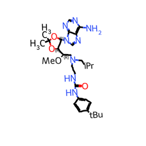 CO[C@H](CN(CCNC(=O)Nc1ccc(C(C)(C)C)cc1)CC(C)C)[C@H]1OC(C)(C)O[C@H]1n1cnc2c(N)ncnc21